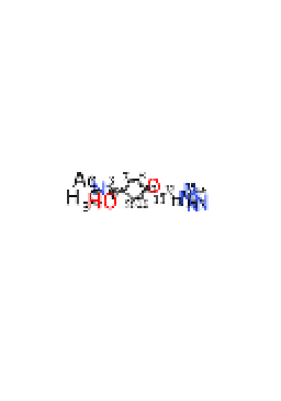 CC(=O)N(C)C[C@H](O)c1ccc(OCCCn2ncnn2)cc1